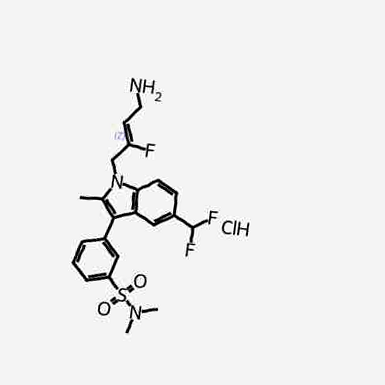 Cc1c(-c2cccc(S(=O)(=O)N(C)C)c2)c2cc(C(F)F)ccc2n1C/C(F)=C/CN.Cl